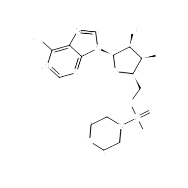 O=P(O)(OC[C@H]1O[C@@H](n2cnc3c(O)ncnc32)[C@@H](O)[C@H]1O)N1CCOCC1